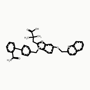 CC(C)(Cc1nc2cc(OCc3ccc4ccccc4n3)ccc2n1Cc1ccc(-c2ccccc2C(N)=O)cc1)C(=O)O